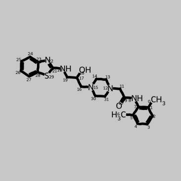 Cc1cccc(C)c1NC(=O)CN1CCN(CC(O)CNc2nc3ccccc3s2)CC1